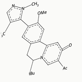 COc1cc2c(cc1-c1c(C)cnn1C)CC(C(C)(C)C)n1cc(C(C)=O)c(=O)cc1-2